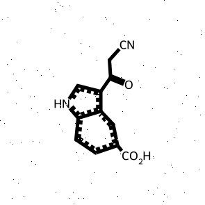 N#CCC(=O)c1c[nH]c2ccc(C(=O)O)cc12